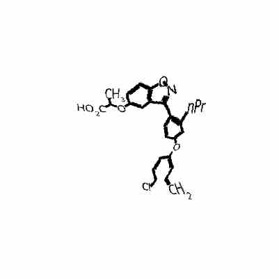 C=C/C=C(\C=C/CCl)Oc1ccc(-c2noc3ccc(OC(C)C(=O)O)cc23)c(CCC)c1